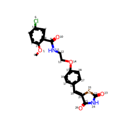 COc1ccc(Cl)cc1C(=O)NCCOc1ccc(/C=C2\SC(=O)NC2=O)cc1